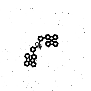 c1cc(-c2ccc3c(c2)C2(c4ccccc4-c4ccccc42)c2ccccc2-3)cc(-c2nnc(-c3cccc(-c4ccc5c(c4)C4(c6ccccc6-c6ccccc64)c4ccccc4-5)c3)o2)c1